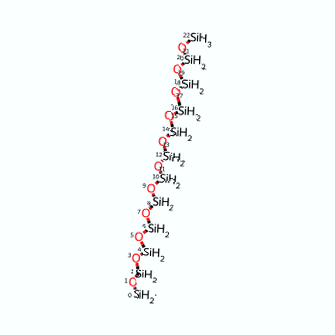 [SiH2]O[SiH2]O[SiH2]O[SiH2]O[SiH2]O[SiH2]O[SiH2]O[SiH2]O[SiH2]O[SiH2]O[SiH2]O[SiH3]